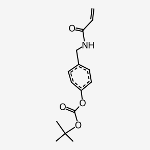 C=CC(=O)NCc1ccc(OC(=O)OC(C)(C)C)cc1